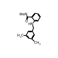 CNC(=O)c1ccccc1NCc1cc(C)cc(C)c1